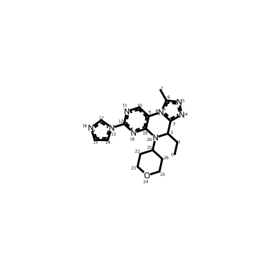 CCC1c2nnc(C)n2-c2cnc(-n3ccnc3)nc2N1C1CCOCC1